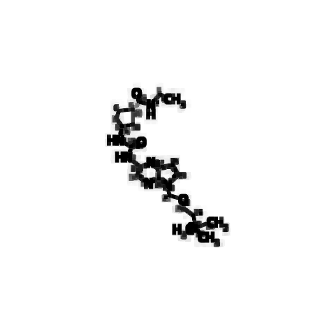 CCNC(=O)[C@H]1CC[C@H](NC(=O)Nc2cnc3c(ccn3COCC[Si](C)(C)C)n2)C1